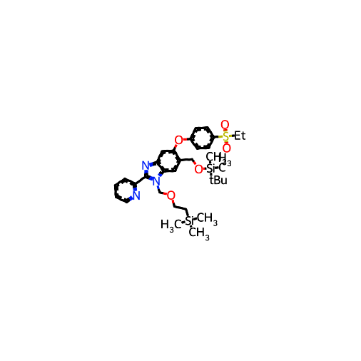 CCS(=O)(=O)c1ccc(Oc2cc3nc(-c4ccccn4)n(COCC[Si](C)(C)C)c3cc2CO[Si](C)(C)C(C)(C)C)cc1